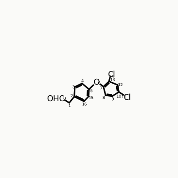 O=CCc1ccc(Oc2ccc(Cl)cc2Cl)cc1